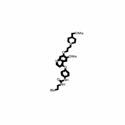 COCC1CCN(CCCOc2cc3nccc(Oc4ccc(NC(=O)NCCC(C)(C)C)cc4)c3cc2OC)CC1